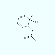 CC(=O)CC1C=CC=CC1(C)S